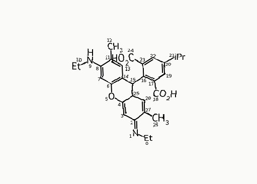 CC/N=C1/C=C2Oc3cc(NCC)c(C)cc3C(c3c(C(=O)O)cc(C(C)C)cc3C(=O)O)C2C=C1C